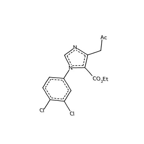 CCOC(=O)c1c(CC(C)=O)ncn1-c1ccc(Cl)c(Cl)c1